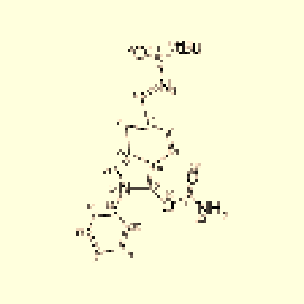 CC(C)(C)[S+]([O-])N=Cc1ccc2c(OC(N)=O)n(-c3ccccc3)nc2c1